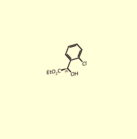 CCOC(=O)[C@H](O)c1ccccc1Cl